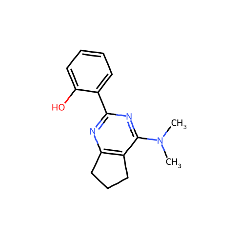 CN(C)c1nc(-c2ccccc2O)nc2c1CCC2